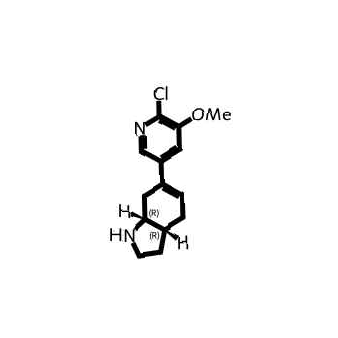 COc1cc(C2=CC[C@@H]3CCN[C@@H]3C2)cnc1Cl